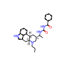 CCCN1C[C@H](C(C)NC(=O)NC(=O)c2ccccc2)C[C@@H]2c3cccc4[nH]cc(c34)C[C@H]21